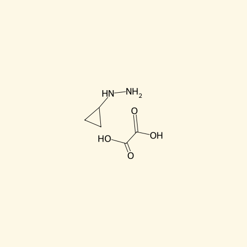 NNC1CC1.O=C(O)C(=O)O